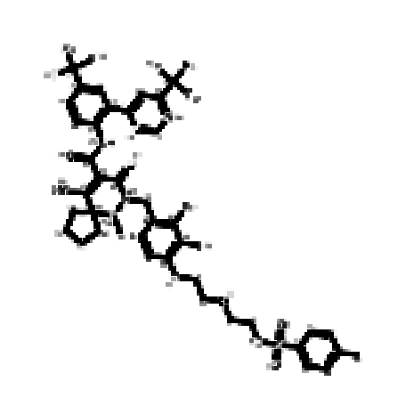 Cc1ccc(S(=O)(=O)OCCOCCOc2ccc(CN3C(=O)C(C(=O)Nc4ccc(C(F)(F)F)cc4-c4cc(C(F)(F)F)ncn4)=C(O)C4(CCCC4)N3C)c(F)c2F)cc1